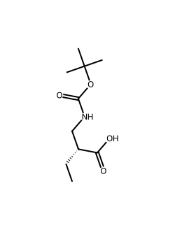 CC[C@H](CNC(=O)OC(C)(C)C)C(=O)O